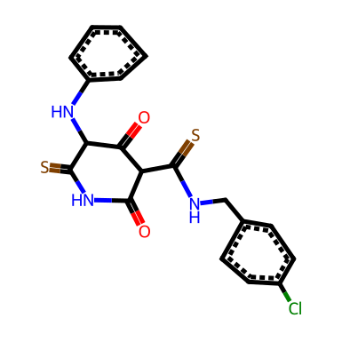 O=C1NC(=S)C(Nc2ccccc2)C(=O)C1C(=S)NCc1ccc(Cl)cc1